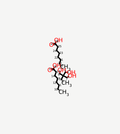 CCC(CO)(CO)CO.CCCCCCCC(=O)O.CCCCCCCC(=O)O